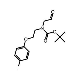 CC(C)(C)OC(=O)N(CC=O)CCOc1ccc(I)cc1